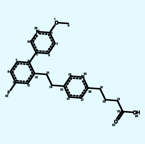 COc1ccc(-c2ccc(F)cc2CCc2ccc(CCCC(=O)O)nc2)cn1